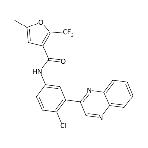 Cc1cc(C(=O)Nc2ccc(Cl)c(-c3cnc4ccccc4n3)c2)c(C(F)(F)F)o1